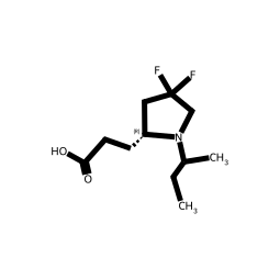 CCC(C)N1CC(F)(F)C[C@H]1CCC(=O)O